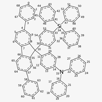 c1ccc(-c2ccc3c(c2)C(c2ccc(N(c4ccccc4)c4ccccc4)cc2)(c2ccc([Si](c4ccccc4)(c4ccccc4)c4ccccc4)cc2)c2cc(-c4ccccc4)ccc2-3)cc1